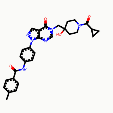 Cc1ccc(C(=O)Nc2ccc(-n3ncc4c(=O)n(CC5(O)CCN(C(=O)C6CC6)CC5)cnc43)cc2)cc1